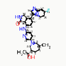 CC(O)[C@H]1CC[C@@H](C)CN(c2ccc(Nc3ccc(-c4cnc5cc(F)ccn45)c4c3C(=O)NC4)nc2)C1